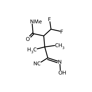 CNC(=O)C(C(F)F)C(C)(C)/C(C#N)=N/O